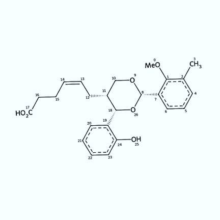 COc1c(C)cccc1[C@H]1OC[C@@H](C/C=C\CCC(=O)O)[C@@H](c2ccccc2O)O1